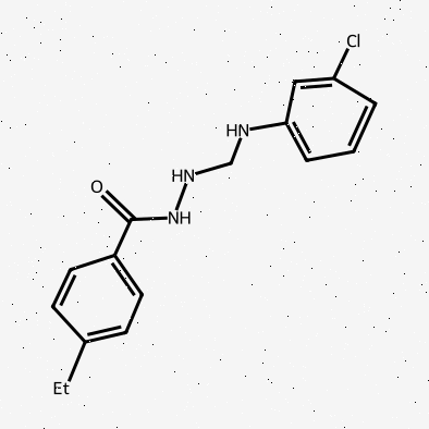 CCc1ccc(C(=O)NNCNc2cccc(Cl)c2)cc1